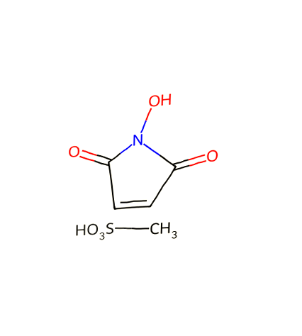 CS(=O)(=O)O.O=C1C=CC(=O)N1O